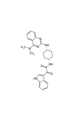 CN(C)c1nc(N[C@H]2CC[C@@H](NC(=O)C(=O)c3c[nH]c4ccccc34)CC2)nc2ccccc12